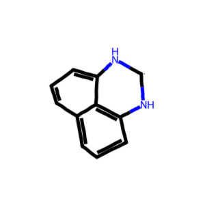 [CH]1Nc2cccc3cccc(c23)N1